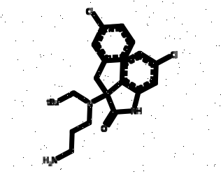 CC(C)(C)CN(CCCN)C1(Cc2cccc(Cl)c2)C(=O)Nc2cc(Cl)ccc21